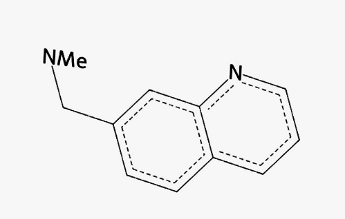 CNCc1ccc2cccnc2c1